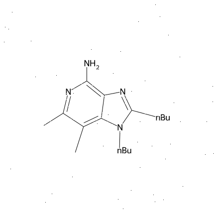 [CH2]CCCn1c(CCCC)nc2c(N)nc(C)c(C)c21